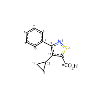 O=C(O)c1snc(-c2ccccc2)c1C1CC1